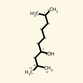 CC(C)CCCCC(O)CC(C)C